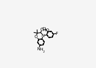 CC1(C)Oc2cc(N)ccc2N(c2ccc(F)cc2Cl)C1C=O